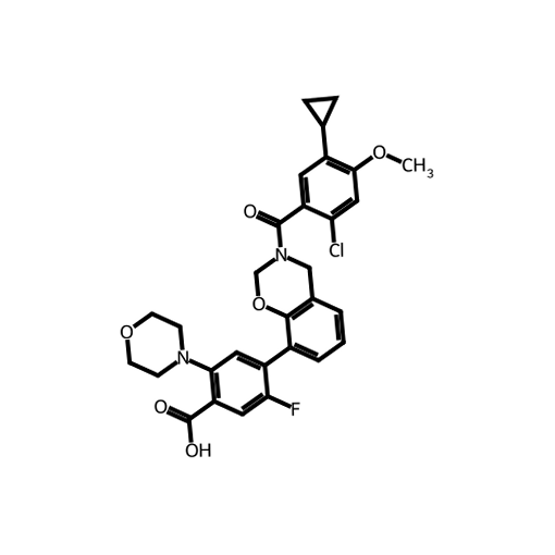 COc1cc(Cl)c(C(=O)N2COc3c(cccc3-c3cc(N4CCOCC4)c(C(=O)O)cc3F)C2)cc1C1CC1